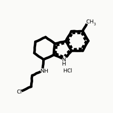 Cc1ccc2[nH]c3c(c2c1)CCCC3NCCCl.Cl